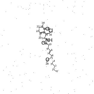 CCCCC[C@@H](C/C=C/CCC(=O)NC/C(=C/Cl)C1=C(C)CCC(C)C1=O)OC